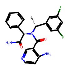 C[C@H](c1cc(F)cc(F)c1)N(C(=O)c1cnccc1N)[C@@H](C(N)=O)c1ccccc1